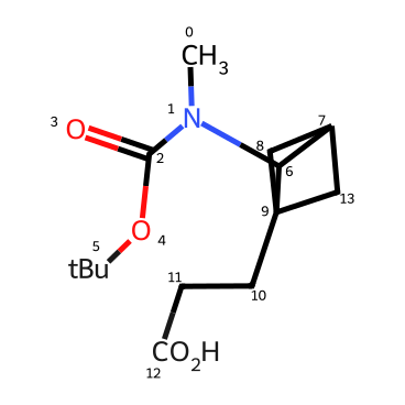 CN(C(=O)OC(C)(C)C)C1C2CC1(CCC(=O)O)C2